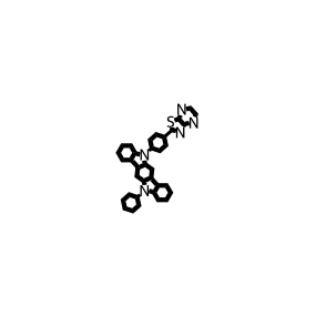 c1ccc(-n2c3ccccc3c3cc4c(cc32)c2ccccc2n4-c2ccc(-c3nc4nccnc4s3)cc2)cc1